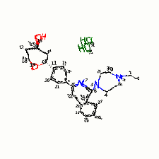 CCN1CCN(c2nc(-c3ccc([C@H]4C[C@H](O)CCO4)cc3)cc3ccccc23)CC1.Cl.Cl